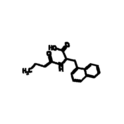 CCCC(=O)NC(Cc1cccc2ccccc12)C(=O)O